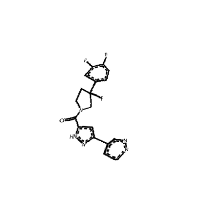 O=C(c1cc(-c2ccnnc2)n[nH]1)N1CCC(F)(c2ccc(F)c(F)c2)C1